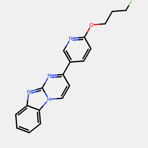 FCCCOc1ccc(-c2ccn3c(n2)nc2ccccc23)cn1